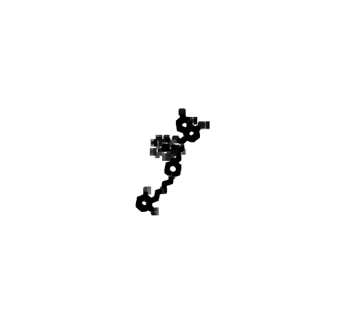 CC(C)(C)[Si](C)(C)O[C@@H](CNCC1(O)CCN(CCOCCc2c(Cl)cccc2Cl)CC1)c1ccc(O)c2[nH]c(=O)ccc12